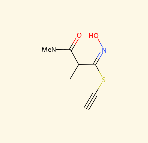 C#CS/C(=N/O)C(C)C(=O)NC